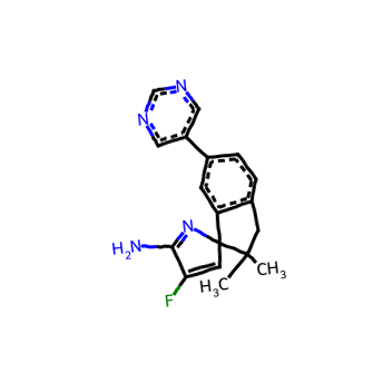 CC1(C)Cc2ccc(-c3cncnc3)cc2C12C=C(F)C(N)=N2